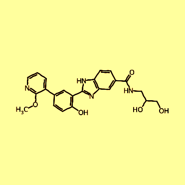 COc1ncccc1-c1ccc(O)c(-c2nc3cc(C(=O)NCC(O)CO)ccc3[nH]2)c1